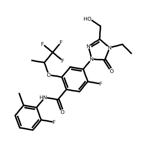 CCn1c(CO)nn(-c2cc(OC(C)C(F)(F)F)c(C(=O)Nc3c(C)cccc3F)cc2F)c1=O